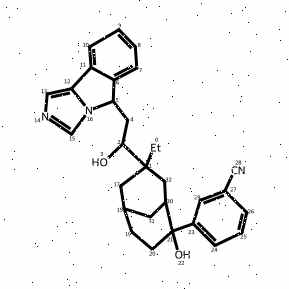 CCC1(C(O)CC2c3ccccc3-c3cncn32)CC2CCC(O)(c3cccc(C#N)c3)C(C2)C1